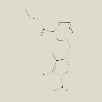 CCOC(=O)c1cccc(Cn2nc(C(C)=O)c(C=O)c2Cl)c1